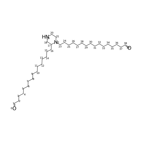 O=CCCCCCCCCCCCCCCCC1CNCCN1CCCCCCCCCCCCCCCC=O